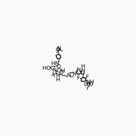 CCCS(=O)(=O)Nc1ccc(F)c(-c2c[nH]c3ncc(N4CCN(CCCC(=O)N[C@H](C(O)N5C[C@H](O)C[C@H]5C(=O)NCc5ccc(-c6scnc6C)cc5)C(C)(C)C)CC4)cc23)c1F